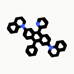 c1ccc(-c2c3cc(N4CCCc5ccccc54)ccc3c(-c3ccccn3)c3cc(N4CCCc5ccccc54)ccc23)cc1